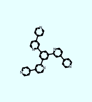 c1cc(-c2ccnc(-c3cc(-c4cc(-c5ccncc5)ccn4)cc(-c4cc(-c5ccncc5)ccn4)c3)c2)ccn1